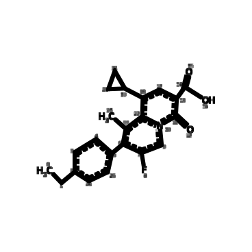 CCc1ccc(-c2c(F)cn3c(=O)c(C(=O)O)cc(C4CC4)c3c2C)cc1